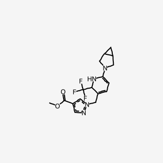 COC(=O)c1cnn(CC2=CC=C(N3CC4CC4C3)NC2C(F)(F)F)c1